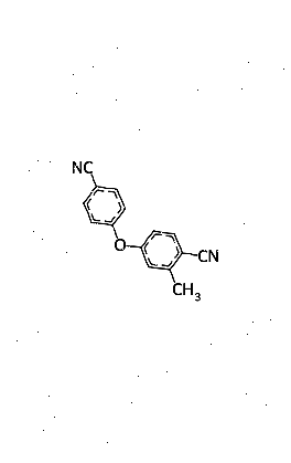 Cc1cc(Oc2ccc(C#N)cc2)ccc1C#N